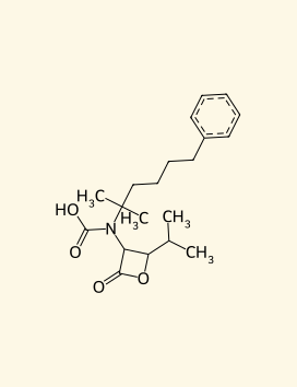 CC(C)C1OC(=O)C1N(C(=O)O)C(C)(C)CCCCc1ccccc1